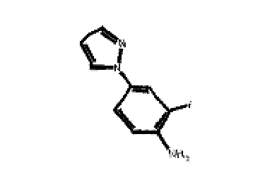 Nc1ccc(-n2cc[c]n2)cc1F